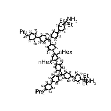 CCCCCCc1cc(-c2ccc(N(c3ccc(-c4ccc(C(N)(CC)CC)cc4)cc3)c3ccc(-c4c(C)cc(CC(C)C)cc4C)cc3)cc2C)c(CCCCCC)cc1-c1ccc(N(c2ccc(-c3ccc(CC(C)C)cc3)cc2)c2ccc(-c3ccc(C(N)(CC)CC)cc3)cc2)cc1C